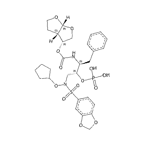 O=C(N[C@@H](Cc1ccccc1)[C@@H](CN(OC1CCCC1)S(=O)(=O)c1ccc2c(c1)OCO2)OP(=O)(O)O)O[C@H]1CO[C@H]2OCC[C@H]21